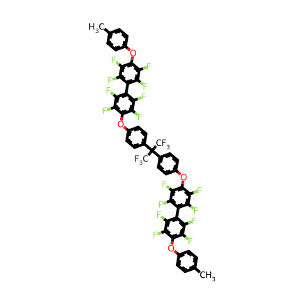 Cc1ccc(Oc2c(F)c(F)c(-c3c(F)c(F)c(Oc4ccc(C(c5ccc(Oc6c(F)c(F)c(-c7c(F)c(F)c(Oc8ccc(C)cc8)c(F)c7F)c(F)c6F)cc5)(C(F)(F)F)C(F)(F)F)cc4)c(F)c3F)c(F)c2F)cc1